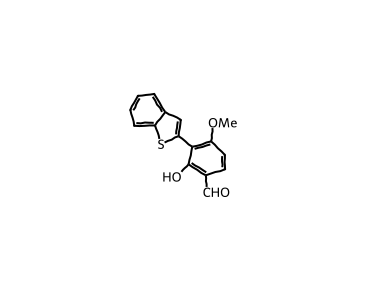 COc1ccc(C=O)c(O)c1-c1cc2ccccc2s1